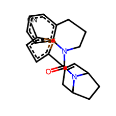 N#Cc1ccc(C2=CC3CCC(C2)N3C(=O)N2CCCc3ccccc32)s1